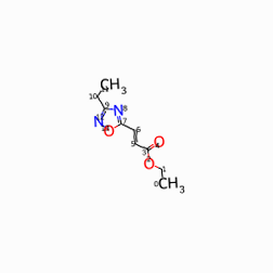 CCOC(=O)/C=C/c1nc(CC)no1